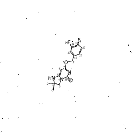 CC1(C)Cn2c(cc(OCc3ccc(F)c(F)c3)nc2=O)N1